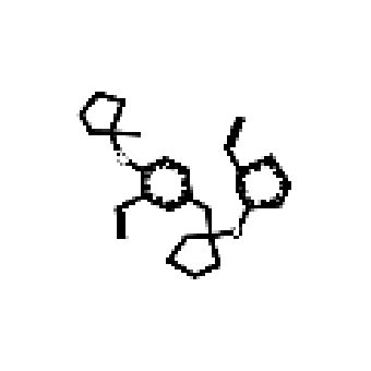 C=Cc1cccc(OC2(Cc3ccc(OC4(C)CCCC4)c(C=C)c3)CCCC2)c1